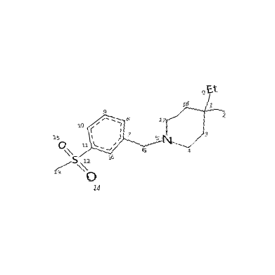 CCC1(C)CCN(Cc2cccc(S(C)(=O)=O)c2)CC1